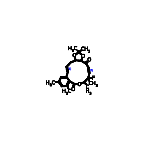 Cc1cc(C)c2c(c1)/C=C/CC1OC(C)(C)OC1C(=O)/C=C\C(C)(F)C(C)OC2=O